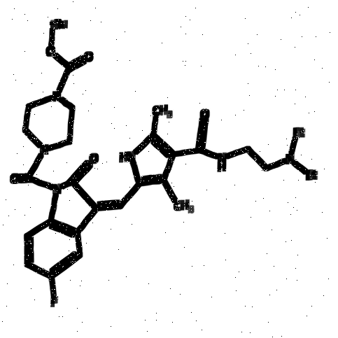 CCN(CC)CCNC(=O)c1c(C)[nH]c(C=C2C(=O)N(C(=O)N3CCN(C(=O)OC(C)(C)C)CC3)c3ccc(F)cc32)c1C